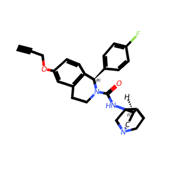 C#CCOc1ccc2c(c1)CCN(C(=O)N[C@@H]1CN3CCC1CC3)[C@@H]2c1ccc(F)cc1